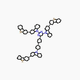 c1ccc2c(c1)sc1ccc(-c3ccc4c(c3)c3ccccc3n4-c3ccc(-c4ccc(-c5cc(-n6c7ccccc7c7cc(-c8ccc9sc%10ccccc%10c9c8)ccc76)nc(-n6c7ccccc7c7cc(-c8ccc9sc%10ccccc%10c9c8)ccc76)n5)cc4)cc3)cc12